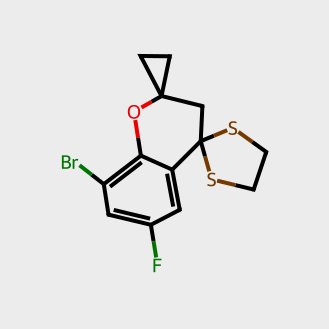 Fc1cc(Br)c2c(c1)C1(CC3(CC3)O2)SCCS1